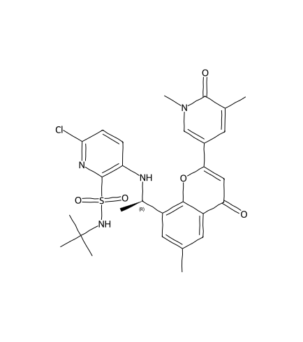 Cc1cc([C@@H](C)Nc2ccc(Cl)nc2S(=O)(=O)NC(C)(C)C)c2oc(-c3cc(C)c(=O)n(C)c3)cc(=O)c2c1